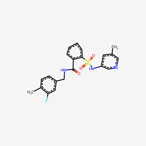 Cc1cncc(NS(=O)(=O)c2ccccc2C(=O)NCc2ccc(C)c(F)c2)c1